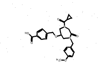 COc1ccc(CN2CC(OCc3ccc(C(=O)O)cc3)CN(C(=O)C3CC3)CC2=O)cc1